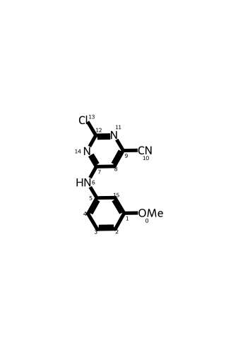 COc1cccc(Nc2cc(C#N)nc(Cl)n2)c1